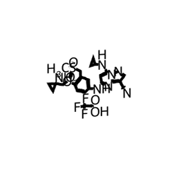 CS(=O)(=O)Cc1cc(Nc2cc(NC3CC3)n3ncc(C#N)c3n2)ccc1OCC1(N)CC1.O=C(O)C(F)(F)F